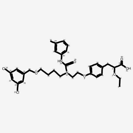 CCOC(Cc1ccc(OCCN(CCCCOCc2cc(Cl)cc(Cl)c2)C(=O)Nc2cccc(C)c2)cc1)C(=O)O